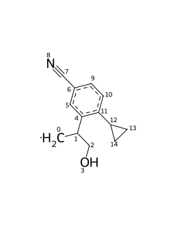 [CH2]C(CO)c1cc(C#N)ccc1C1CC1